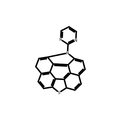 C1=CC2Sc3ccc4c5c3c2c2c1ccc1c2c5c(n1-c1ncccn1)=CC4